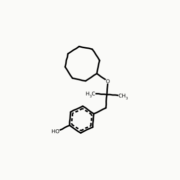 CC(C)(Cc1ccc(O)cc1)OC1CCCCCCC1